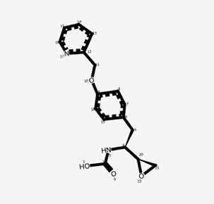 O=C(O)N[C@@H](Cc1ccc(OCc2ccccn2)cc1)[C@H]1CO1